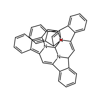 C1=C2c3ccccc3C3C=c4c5ccccc5c5n4C4(N23)N2C(=Cc3c6ccccc6c1n34)c1ccccc1C2C=5